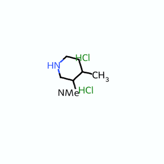 CNC1CNCCC1C.Cl.Cl